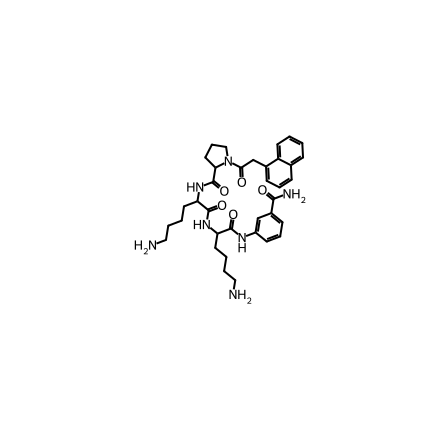 NCCCCC(NC(=O)C(CCCCN)NC(=O)C1CCCN1C(=O)Cc1cccc2ccccc12)C(=O)Nc1cccc(C(N)=O)c1